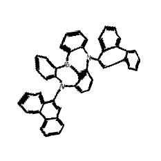 c1ccc2c(c1)B1c3ccccc3N(c3cc4ccccc4c4ccccc34)c3cccc(c31)N2c1cc2ccccc2c2ccccc12